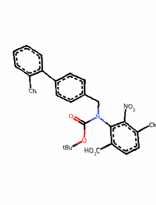 Cc1ccc(C(=O)O)c(N(Cc2ccc(-c3ccccc3C#N)cc2)C(=O)OC(C)(C)C)c1[N+](=O)[O-]